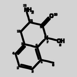 Cc1cccc2c1N(O)C(=O)C(N)C2